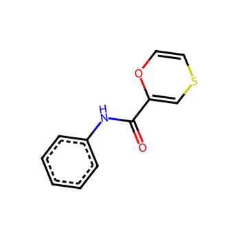 O=C(Nc1ccccc1)C1=CSC=CO1